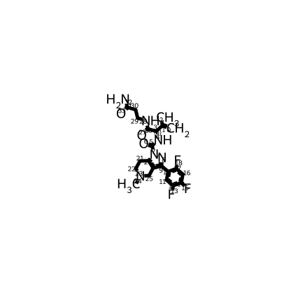 C=C(C)[C@H](NC(=O)n1nc(-c2cc(F)c(F)cc2F)c2c1CCN(C)C2)C(=O)NCCC(N)=O